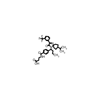 CCCC(c1ccc(C(=O)NCCC(=O)O)cc1)N1C(=O)C(c2cccc(C(F)(F)F)c2)=NC12CCC(C(C)C)CC2